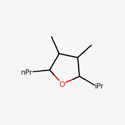 CCCC1OC(C(C)C)C(C)C1C